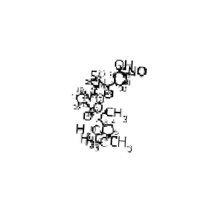 CC(CC1CCC(C)(C)C1(C)C)OC(=O)C1CCCN1C(=O)C1CSCN1C(=O)c1ccc(N=O)c(O)c1